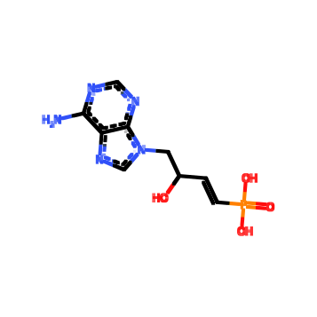 Nc1ncnc2c1ncn2CC(O)C=CP(=O)(O)O